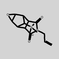 C=CCN1C(=O)C2C(C1=O)C1C3OC3C2C1[Si](C)(C)C(C)(C)C